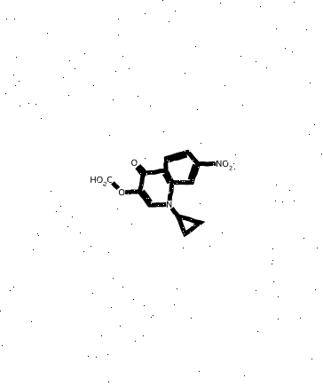 O=C(O)Oc1cn(C2CC2)c2cc([N+](=O)[O-])ccc2c1=O